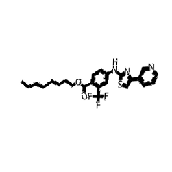 CCCCCCCCOC(=O)c1ccc(Nc2nc(-c3cccnc3)cs2)cc1C(F)(F)F